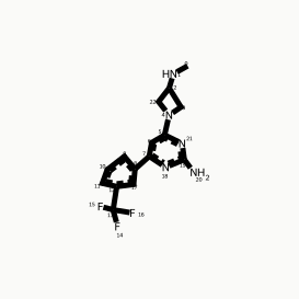 CNC1CN(c2cc(-c3cccc(C(F)(F)F)c3)nc(N)n2)C1